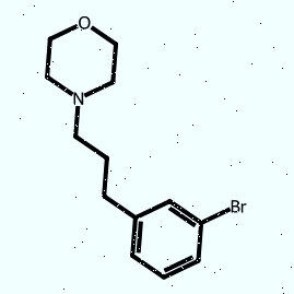 Brc1cccc(CCCN2CCOCC2)c1